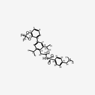 CC(C)c1cc(-c2cccc3c2OC(F)(F)O3)cc(C(C)C)c1CC(=O)NS(=O)(=O)c1ccc(CN(C)C)cc1